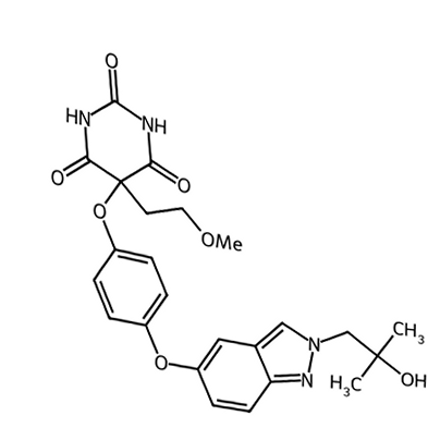 COCCC1(Oc2ccc(Oc3ccc4nn(CC(C)(C)O)cc4c3)cc2)C(=O)NC(=O)NC1=O